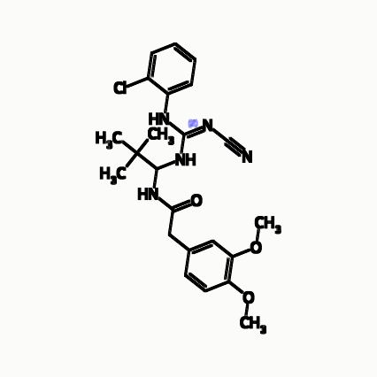 COc1ccc(CC(=O)NC(N/C(=N\C#N)Nc2ccccc2Cl)C(C)(C)C)cc1OC